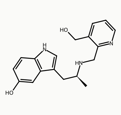 C[C@@H](Cc1c[nH]c2ccc(O)cc12)NCc1ncccc1CO